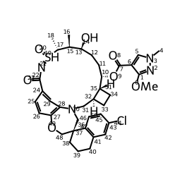 COc1nn(C)cc1C(=O)O[C@H]1CC[C@H](O)[C@H](C)[C@@H](C)/[SH](=O)=N\C(=O)c2ccc3c(c2)N(C[C@@H]2CC[C@H]21)C[C@@]1(CCCc2cc(Cl)ccc21)CO3